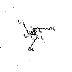 CCCCCCCCCC(C)(C)Sc1cc(SC(C)(C)CCCCCCCCC)cc(SC(C)(C)CCCCCCCCC)c1